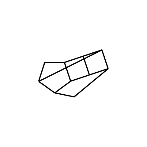 C1C2C3CC4C2C2C1C3C42